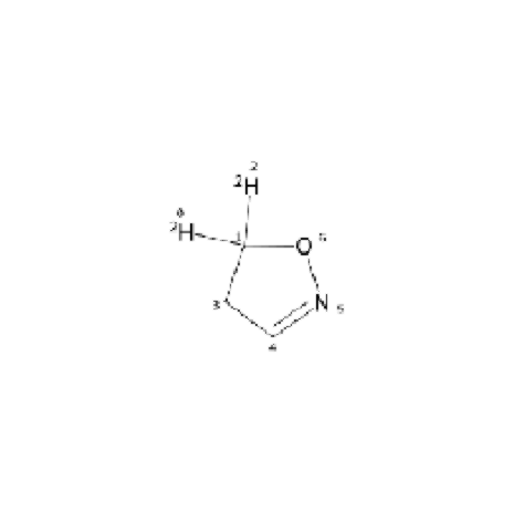 [2H]C1([2H])CC=NO1